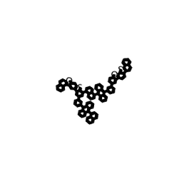 c1cc(-c2cc(-c3cccc4c(-c5c6ccccc6c(-c6cccc(-c7ccc8oc9c(ccc%10c%11ccc%12ccccc%12c%11sc%109)c8c7)c6)c6ccccc56)cccc34)c3sc4cc5oc6ccc7ccccc7c6c5cc4c3c2)cc(-c2c3ccccc3c(-c3cccc4ccccc34)c3ccccc23)c1